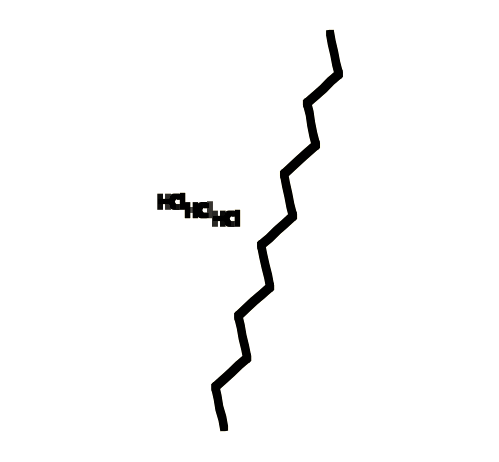 CCCCCCCCCCCC.Cl.Cl.Cl